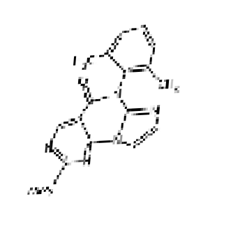 CSc1ncc2c(=O)n(-c3c(C)cccc3C)c3nccn3c2n1